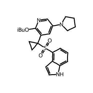 CC(C)COc1ncc(N2CCCC2)cc1C1(S(=O)(=O)c2cccc3[nH]ccc23)CC1